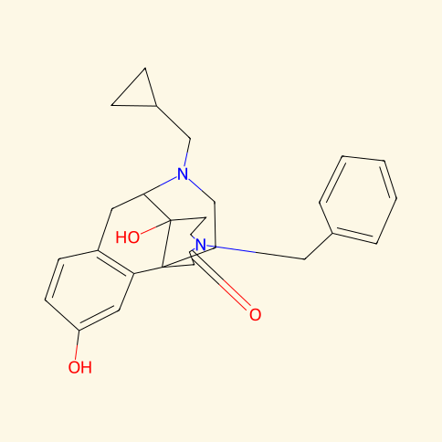 O=C1CC23CCN(CC4CC4)C(Cc4ccc(O)cc42)C3(O)CCN1Cc1ccccc1